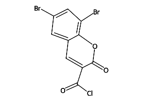 O=C(Cl)c1cc2cc(Br)cc(Br)c2oc1=O